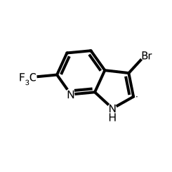 FC(F)(F)c1ccc2c(Br)[c][nH]c2n1